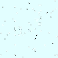 CCCC1(CC)CN(C(N)=O)c2ccccc21